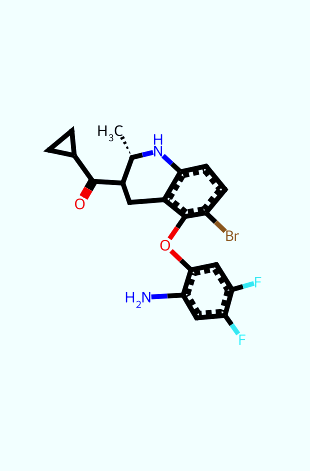 C[C@@H]1Nc2ccc(Br)c(Oc3cc(F)c(F)cc3N)c2CC1C(=O)C1CC1